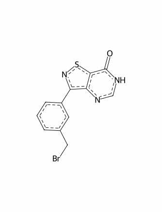 O=c1[nH]cnc2c(-c3cccc(CBr)c3)nsc12